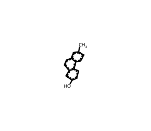 Cc1ccc2c(ccc3cc(O)ccc32)c1